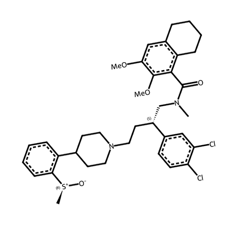 COc1cc2c(c(C(=O)N(C)C[C@@H](CCN3CCC(c4ccccc4[S@+](C)[O-])CC3)c3ccc(Cl)c(Cl)c3)c1OC)CCCC2